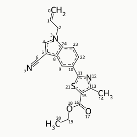 C=CCn1cc(C#N)c2cc(-c3nc(C)c(C(=O)OCC)s3)ccc21